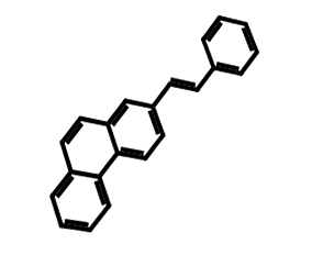 C(=Cc1ccc2c(ccc3ccccc32)c1)c1ccccc1